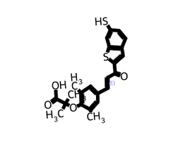 Cc1cc(/C=C/C(=O)c2cc3ccc(S)cc3s2)cc(C)c1OC(C)(C)C(=O)O